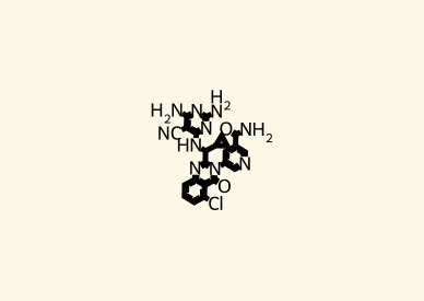 N#Cc1c(N)nc(N)nc1NC(c1nc2cccc(Cl)c2c(=O)n1-c1cncc(C(N)=O)c1)C1CC1